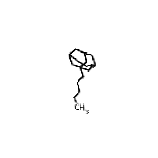 CCCCCC12CC3CC(CC(C3)C1)C2